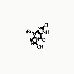 CCCCn1c2nc(Cl)[nH]c2c(=O)n2c(C)nnc12